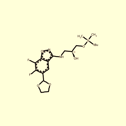 CC(C)(C)[Si](C)(C)OC[C@@H](O)CNc1noc2c(F)c(F)c(C3OCCO3)cc12